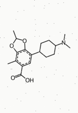 Cc1c(C(=O)O)cc(C2CCC(N(C)C)CC2)c2c1OC(C)O2